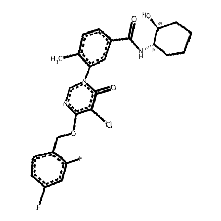 Cc1ccc(C(=O)N[C@H]2CCCC[C@@H]2O)cc1-n1cnc(OCc2ccc(F)cc2F)c(Cl)c1=O